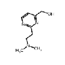 CN(C)CCc1nccc(CO)n1